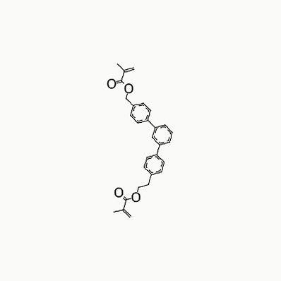 C=C(C)C(=O)OCCc1ccc(-c2cccc(-c3ccc(COC(=O)C(=C)C)cc3)c2)cc1